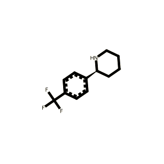 FC(F)(F)c1ccc([C@@H]2C[CH]CCN2)cc1